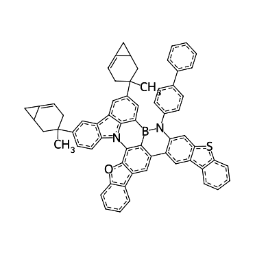 CC1(c2ccc3c(c2)c2cc(C4(C)CC=C5CC5C4)cc4c2n3-c2c3c(cc5c2oc2ccccc25)-c2cc5c(cc2N(c2ccc(-c6ccccc6)cc2)B34)sc2ccccc25)CC=C2CC2C1